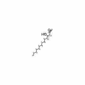 CCCCCCCCCCCC(O)CC1CO1